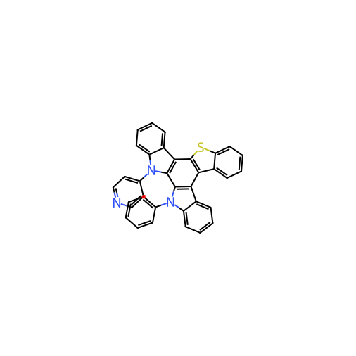 c1ccc(-n2c3ccccc3c3c4c5ccccc5sc4c4c5ccccc5n(-c5ccncc5)c4c32)cc1